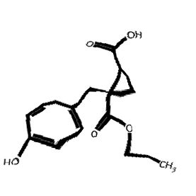 CCOC(=O)[C@@]1(Cc2ccc(O)cc2)CC1C(=O)O